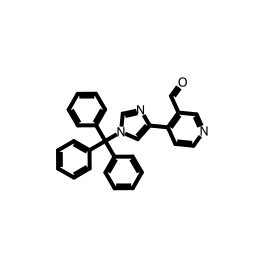 O=Cc1cnccc1-c1cn(C(c2ccccc2)(c2ccccc2)c2ccccc2)cn1